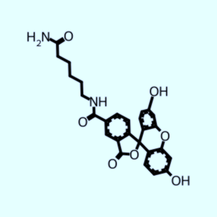 NC(=O)CCCCCNC(=O)c1ccc2c(c1)C(=O)OC21c2ccc(O)cc2Oc2cc(O)ccc21